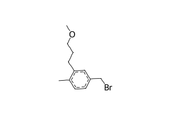 COCCCc1cc(CBr)ccc1C